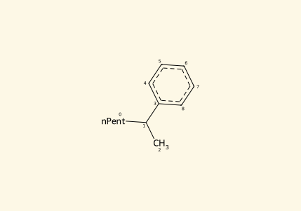 CCC[CH]CC(C)c1ccccc1